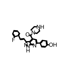 O=C(c1cc(-c2ccc(O)cc2)nc2[nH]nc(C=Cc3ccccc3F)c12)N1CCNCC1